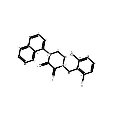 O=C1C(=O)N(c2cccc3ccccc23)CCN1Cc1c(F)cccc1Cl